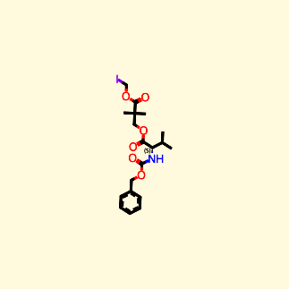 CC(C)[C@H](NC(=O)OCc1ccccc1)C(=O)OCC(C)(C)C(=O)OCI